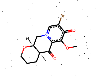 COc1c2n(cc(Br)c1=O)C[C@@H]1OCCC[C@]1(C)C2=O